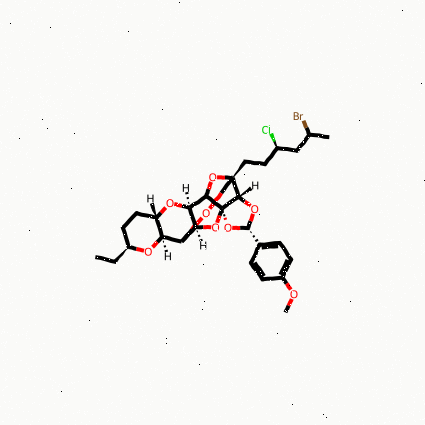 CC[C@H]1CC[C@@H]2O[C@H]3C4O[C@@]5(CC[C@@H](Cl)CC(C)Br)OC([C@H]2O1)[C@@H]3O[C@@]41O[C@@H](c2ccc(OC)cc2)O[C@@H]51